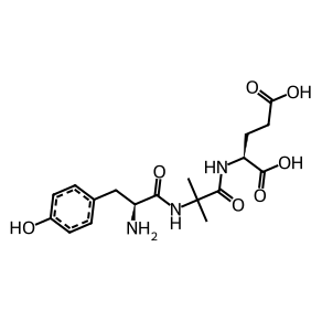 CC(C)(NC(=O)[C@@H](N)Cc1ccc(O)cc1)C(=O)N[C@@H](CCC(=O)O)C(=O)O